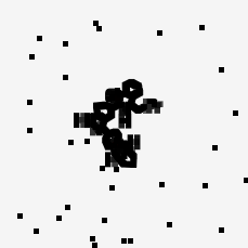 CC(C)CC(NC(=O)c1ccc2[nH]nc(-c3ccc(N4[C@@H]5CCC[C@H]4COC5)cc3)c2c1)c1ccccc1Cl